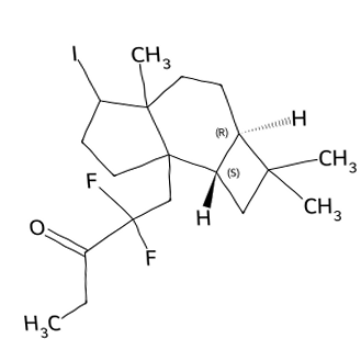 CCC(=O)C(F)(F)CC12CCC(I)C1(C)CC[C@@H]1[C@@H]2CC1(C)C